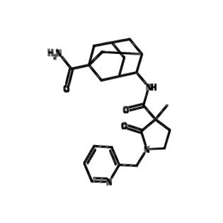 CC1(C(=O)NC2C3CC4CC2CC(C(N)=O)(C4)C3)CCN(Cc2ccccn2)C1=O